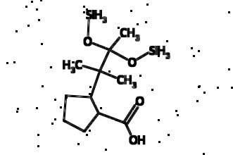 CC(O[SiH3])(O[SiH3])C(C)(C)C1CCCC1C(=O)O